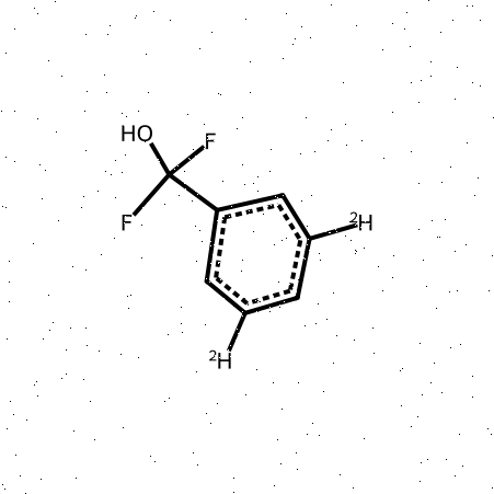 [2H]c1cc([2H])cc(C(O)(F)F)c1